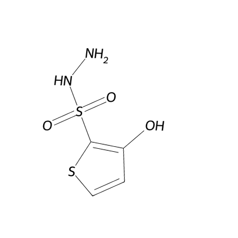 NNS(=O)(=O)c1sccc1O